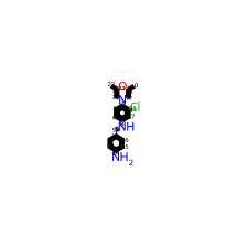 CC1CN(c2ccc(NC[C@H]3CC[C@H](N)CC3)cc2Cl)CC(C)O1